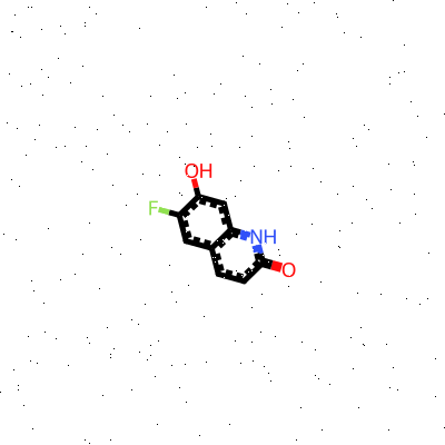 O=c1ccc2cc(F)c(O)cc2[nH]1